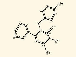 CC(C)(C)c1ccc(Cn2c(-c3ccccc3)cc(C(F)(F)F)c(C#N)c2=O)cc1